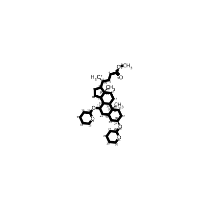 COC(=O)CC[C@@H](C)C1CCC2C3C(OC4CCCCO4)CC4C[C@H](OC5CCCCO5)CC[C@]4(C)C3CC[C@@]21C